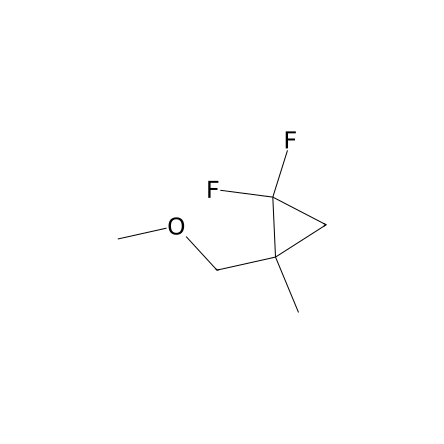 COCC1(C)CC1(F)F